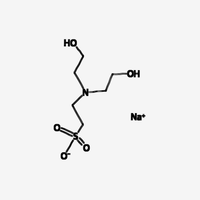 O=S(=O)([O-])CCN(CCO)CCO.[Na+]